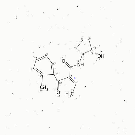 C/C=C(/C(=O)NC1CCC[C@@H]1O)C(=O)c1ccccc1C